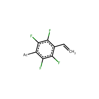 C=Cc1c(F)c(F)c(C(C)=O)c(F)c1F